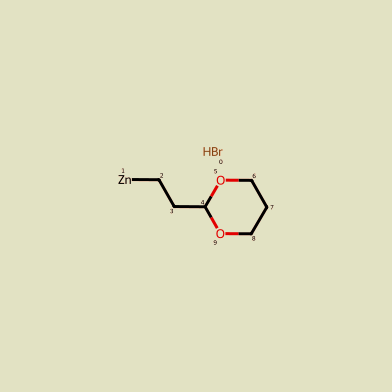 Br.[Zn][CH2]CC1OCCCO1